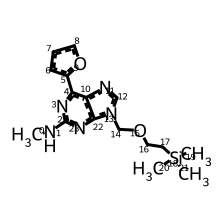 CNc1nc(-c2ccco2)c2ncn(COCC[Si](C)(C)C)c2n1